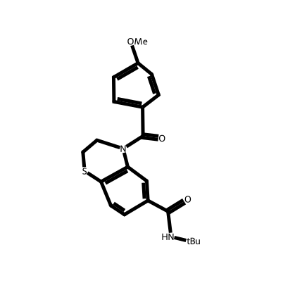 COc1ccc(C(=O)N2CCSc3ccc(C(=O)NC(C)(C)C)cc32)cc1